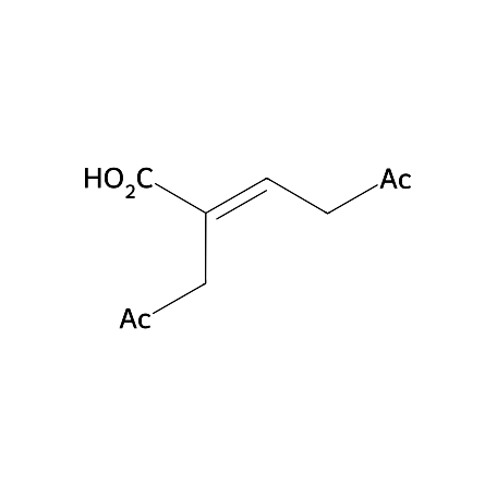 CC(=O)CC=C(CC(C)=O)C(=O)O